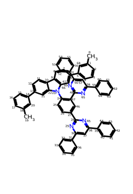 Cc1cccc(-c2ccc3c4ccc(-c5cccc(C)c5)cc4n(-c4ccc(-c5nc(-c6ccccc6)cc(-c6ccccc6)n5)cc4-c4nc(-c5ccccc5)cc(-c5ccccc5)n4)c3c2)c1